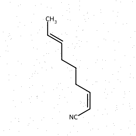 CC=CCCC/C=C\C#N